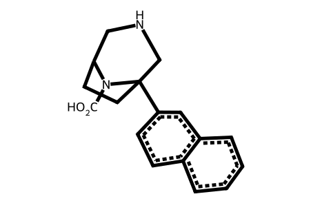 O=C(O)N1C2CCC1(c1ccc3ccccc3c1)CNC2